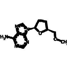 COC[C@@H]1CC[C@H](n2cnc3c(N)ncnc32)O1